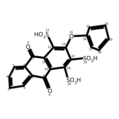 O=C1c2ccccc2C(=O)c2c1c(S(=O)(=O)O)c(Oc1ccccc1)c(S(=O)(=O)O)c2S(=O)(=O)O